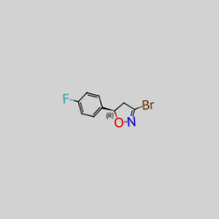 Fc1ccc([C@H]2CC(Br)=NO2)cc1